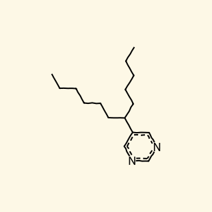 CCCCCCC(CCCCC)c1cncnc1